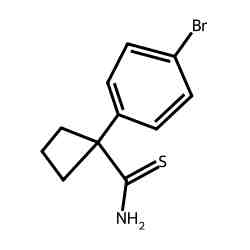 NC(=S)C1(c2ccc(Br)cc2)CCC1